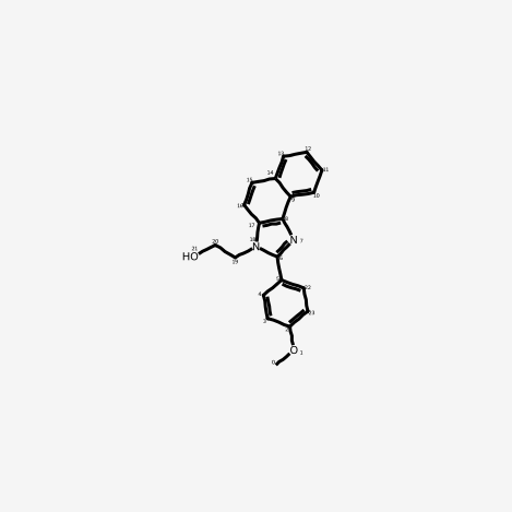 COc1ccc(-c2nc3c4ccccc4ccc3n2CCO)cc1